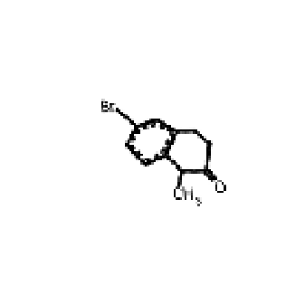 CC1C(=O)CCc2cc(Br)ccc21